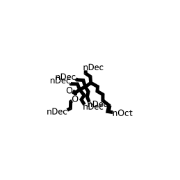 CCCCCCCCC=CCCCCC(CCCCCCCCCCCC)C(CCCCCCCCCCCC)(CCCCCCCCCCCC)C(CCCCCCCCCCCC)(CCCCCCCCCCCC)C(=O)OCCCCCCCCCCCC